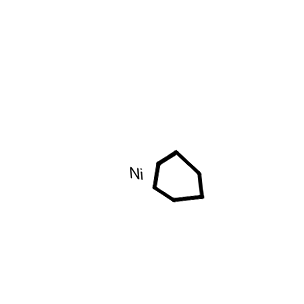 C1CCCCC1.[Ni]